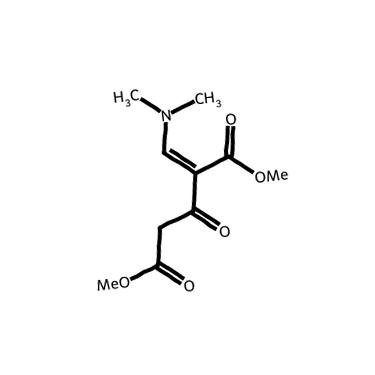 COC(=O)CC(=O)/C(=C/N(C)C)C(=O)OC